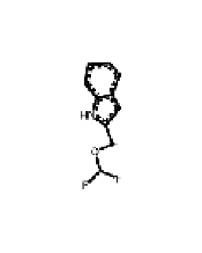 FC(F)O[CH]c1cc2ccccc2[nH]1